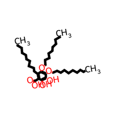 CCCCCCCCCCOc1c(O)c(O)c(C(=O)O)c(CCCCCCCCCC)c1OCCCCCCCCCC